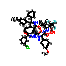 COc1ccc(C(NC(=O)C(CC(=O)NC(c2ccccc2)(c2ccccc2)c2ccc(C)cc2)NC(=O)c2cccc(Cl)c2)C(=O)NC(C(C)C)C(O)C(F)(F)F)cc1